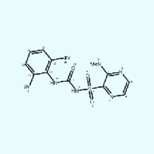 CNc1nccnc1S(=O)(=O)NC(=O)Nc1c(C(C)C)cccc1C(C)C